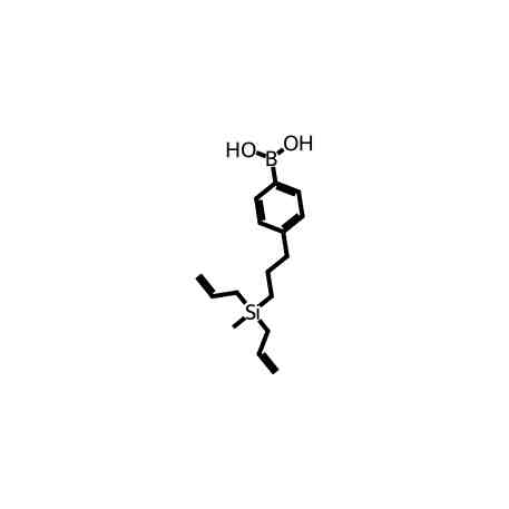 C=CC[Si](C)(CC=C)CCCc1ccc(B(O)O)cc1